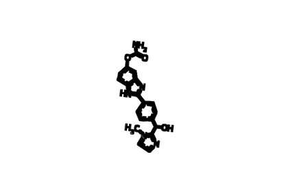 Cn1ccnc1C(O)c1ccc(-c2nc3cc(OC(N)=O)ccc3[nH]2)cc1